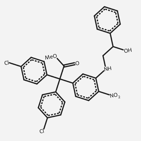 COC(=O)C(c1ccc(Cl)cc1)(c1ccc(Cl)cc1)c1ccc([N+](=O)[O-])c(NCC(O)c2ccccc2)c1